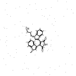 Cn1cc(C2=C(c3cn(CCCC#N)c4ccccc34)C(=O)NC2=O)c2ccccc21